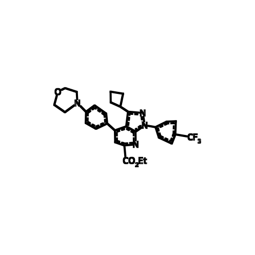 CCOC(=O)c1cc(-c2ccc(N3CCOCC3)cc2)c2c(C3CCC3)nn(-c3ccc(C(F)(F)F)cc3)c2n1